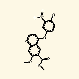 CNC(=O)c1cc2c(Oc3ccc(Cl)c([N+](=O)[O-])c3)ccnc2cc1OC